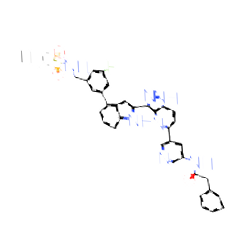 CS(=O)(=O)NCc1cc(F)cc(-c2cccc3[nH]c(-c4n[nH]c5ccc(-c6cncc(NC(=O)Cc7ccccc7)c6)nc45)cc23)c1